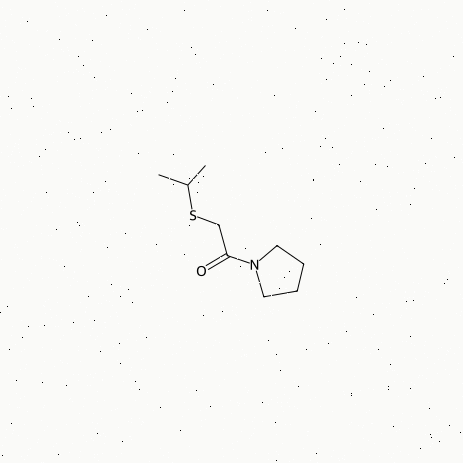 CC(C)SCC(=O)N1CCCC1